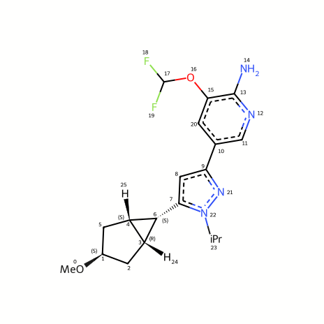 CO[C@@H]1C[C@@H]2[C@H](C1)[C@@H]2c1cc(-c2cnc(N)c(OC(F)F)c2)nn1C(C)C